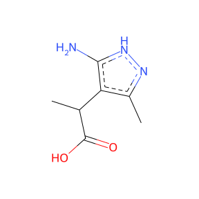 Cc1n[nH]c(N)c1C(C)C(=O)O